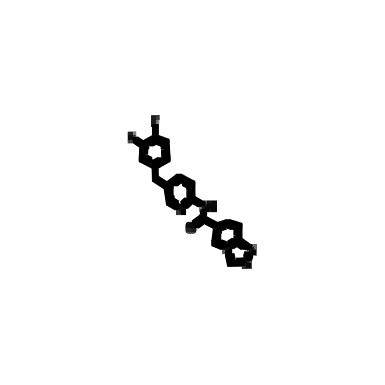 O=C(Nc1ccc(Cc2ccc(F)c(F)c2)cn1)c1ccc2nncn2c1